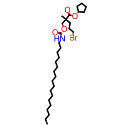 CCCCCCCCCCCCCCCCCCNC(=O)OCC(C)(CCCBr)C(=O)OC1CCCC1